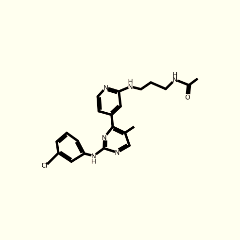 CC(=O)NCCCNc1cc(-c2nc(Nc3cccc(Cl)c3)ncc2C)ccn1